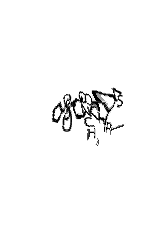 Cc1cc(S(=O)(=O)C2CCCC2)cc(=O)n1C(CCC(C)C)C(=O)Nc1nccs1